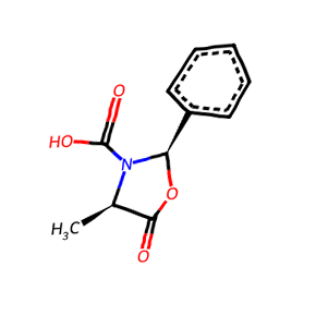 C[C@@H]1C(=O)O[C@H](c2ccccc2)N1C(=O)O